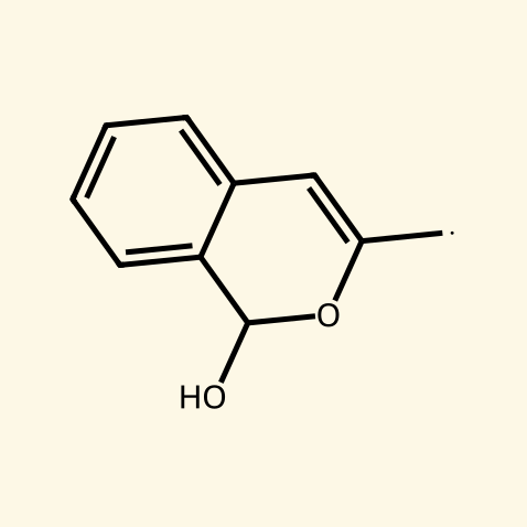 [CH2]C1=Cc2ccccc2C(O)O1